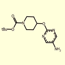 CC(C)(C)OC(=O)N1CCC(Oc2ncc(N)cn2)CC1